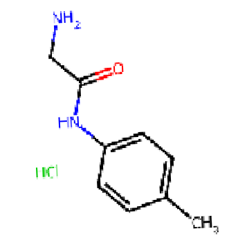 Cc1ccc(NC(=O)CN)cc1.Cl